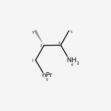 CCCC[C@H](C)C(C)N